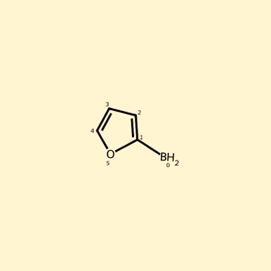 Bc1ccco1